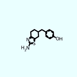 Nc1nc2c(s1)CC(Cc1ccc(O)cc1)CC2